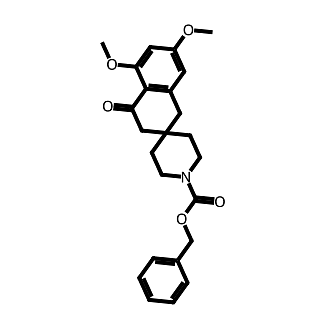 COc1cc2c(c(OC)c1)C(=O)CC1(CCN(C(=O)OCc3ccccc3)CC1)C2